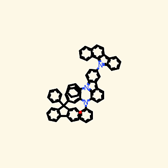 C1#CC(N(c2ccccc2)c2cccc3c4cc(-n5c6ccccc6c6ccc7ccccc7c65)ccc4n(C4=CC=CCC4)c23)=CC(C2(c3ccccc3)c3ccccc3-c3ccccc32)=CC1